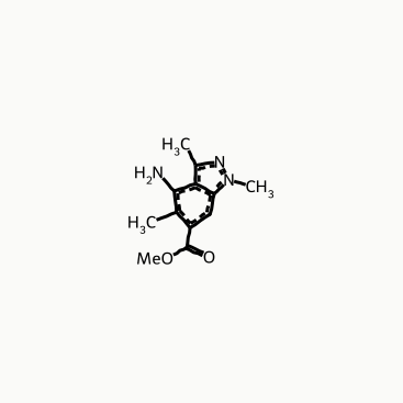 COC(=O)c1cc2c(c(C)nn2C)c(N)c1C